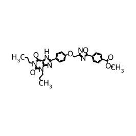 CCCn1c(=O)c2[nH]c(-c3ccc(OCc4noc(-c5ccc(C(=O)OC)cc5)n4)cc3)nc2n(CCC)c1=O